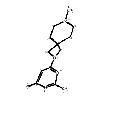 Cc1nc(Cl)cc(N2CC3(CCN(C)CC3)C2)n1